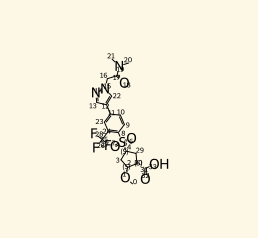 CO[C@H]1C[C@@H](S(=O)(=O)c2ccc(-c3cnn(CC(=O)N(C)C)c3)cc2C(F)(F)F)C[C@@H]1C(=O)O